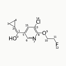 OC(=C1CC1)c1cnc(OCCF)c(Cl)c1